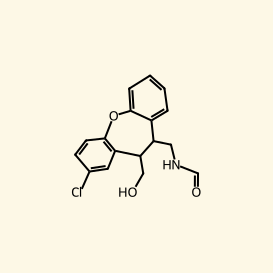 O=CNCC1c2ccccc2Oc2ccc(Cl)cc2C1CO